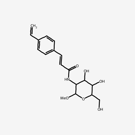 C=Cc1ccc(/C=C/C(=O)NC2C(OC)OC(CO)C(O)C2O)cc1